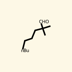 CCCCCCCC(C)(C)C=O